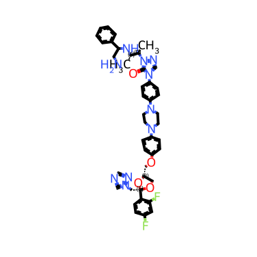 C[C@H](NC(CN)c1ccccc1)[C@@H](C)n1ncn(-c2ccc(N3CCN(c4ccc(OC[C@@H]5CO[C@@](Cn6cncn6)(c6ccc(F)cc6F)O5)cc4)CC3)cc2)c1=O